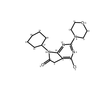 O=C1Cc2c(Cl)nc(N3CCOCC3)nc2N1C1CCCCC1